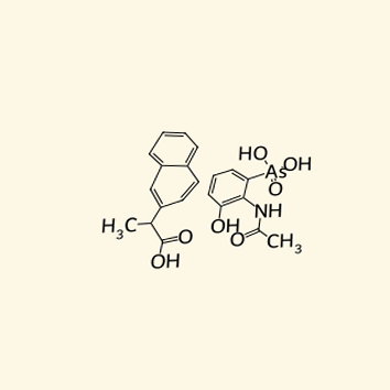 CC(=O)Nc1c(O)cccc1[As](=O)(O)O.CC(C(=O)O)c1ccc2ccccc2c1